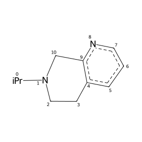 CC(C)N1CCc2cccnc2C1